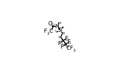 CN(C(=O)C(F)(F)F)[Si](C)(C)CCC(F)(F)C(F)(F)C(F)(F)F